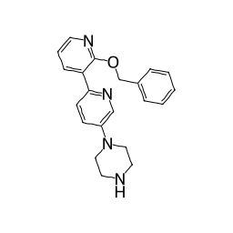 c1ccc(COc2ncccc2-c2ccc(N3CCNCC3)cn2)cc1